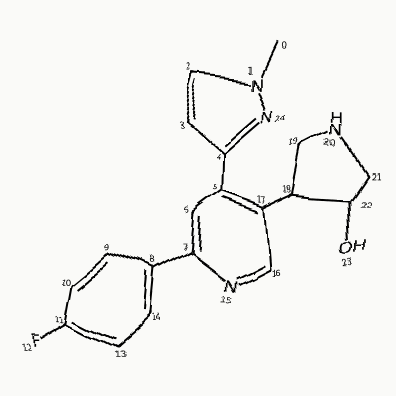 Cn1ccc(-c2cc(-c3ccc(F)cc3)ncc2C2CNCC2O)n1